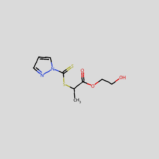 CC(SC(=S)n1cccn1)C(=O)OCCO